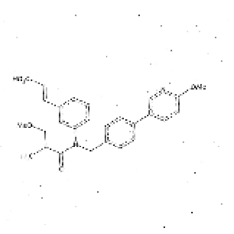 COCC(C)C(=O)N(Cc1ccc(-c2ccc(OC)nc2)cc1)c1cccc(C=CC(=O)O)c1